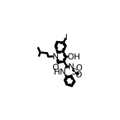 CC(C)CCn1c(=O)c(C2=NS(=O)(=O)c3ccccc3N2)c(O)c2cc(I)ccc21